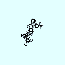 COc1ccc(CN(c2ccncn2)S(=O)(=O)c2cc3c(cc2F)[C@@H](N2CCC(C(F)(F)F)C[C@H]2c2ccccn2)CCO3)c(OC)c1